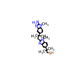 Cn1c(N)nc2cc(C(C)(C)Cc3nc4cc(C(C)(C)CS)ccc4n3C)ccc21